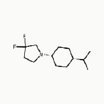 CC(C)[C@H]1CC[C@H](N2CCC(F)(F)C2)CC1